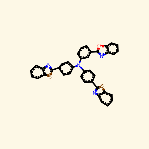 c1cc(-c2nc3ccccc3o2)cc(N(c2ccc(-c3nc4ccccc4s3)cc2)c2ccc(-c3nc4ccccc4s3)cc2)c1